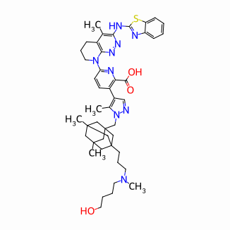 Cc1c(Nc2nc3ccccc3s2)nnc2c1CCCN2c1ccc(-c2cnn(CC34CC5(C)CC(C)(CC(CCCN(C)CCCCO)(C5)C3)C4)c2C)c(C(=O)O)n1